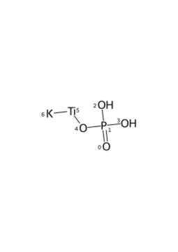 O=P(O)(O)[O][Ti][K]